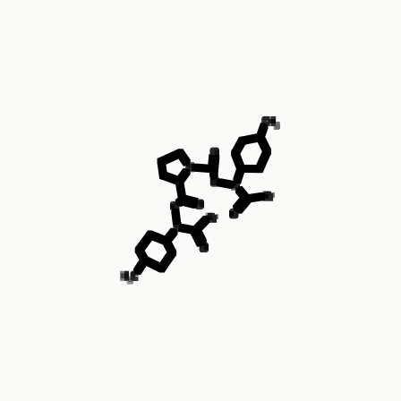 CC1CCC(N(OC(=O)C2CCCN2C(=O)ON(C(=O)C(C)C)C2CCC(C)CC2)C(=O)C(C)C)CC1